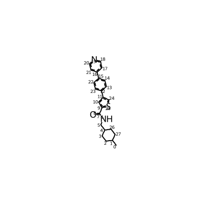 CC1CCC(CNC(=O)c2cc(-c3ccc(-c4ccncc4)cc3)cs2)CC1